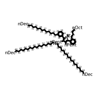 CCCCCCCCC=CCCc1ccccc1C1=C(CCCCC)C(CCCCC)=C(c2cccc(CCCCCCCCCCCCCCCCCCCCCCC)c2)[N+]1=[N-].CCCCCCCCCCCCCCCCCCCCCCCCCC[CH2][Ni][CH2]CCCCCCCCCCCCCCCCCCCCCCCCCC